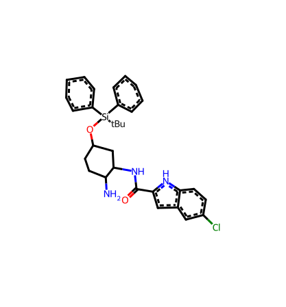 CC(C)(C)[Si](OC1CCC(N)C(NC(=O)c2cc3cc(Cl)ccc3[nH]2)C1)(c1ccccc1)c1ccccc1